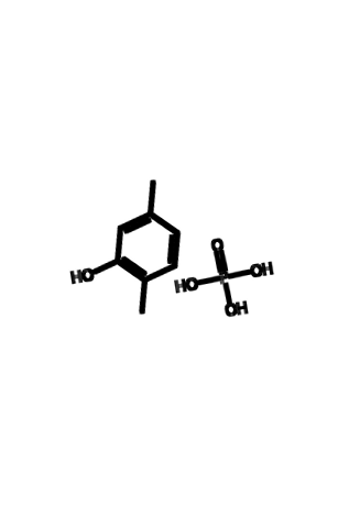 Cc1ccc(C)c(O)c1.O=P(O)(O)O